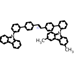 Cc1ccc2c(c1)c1cc(C)ccc1n2-c1ccccc1-c1ccc(/C=C/c2ccc(-c3cccc(-n4c5ccccc5c5ccccc54)c3)cc2)cc1